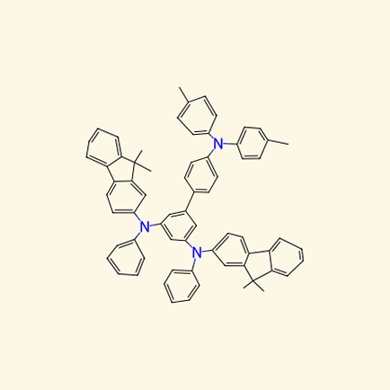 Cc1ccc(N(c2ccc(C)cc2)c2ccc(-c3cc(N(c4ccccc4)c4ccc5c(c4)C(C)(C)c4ccccc4-5)cc(N(c4ccccc4)c4ccc5c(c4)C(C)(C)c4ccccc4-5)c3)cc2)cc1